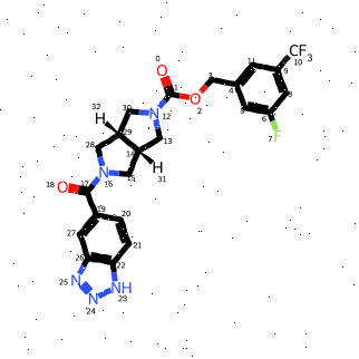 O=C(OCc1cc(F)cc(C(F)(F)F)c1)N1C[C@@H]2CN(C(=O)c3ccc4[nH]nnc4c3)C[C@@H]2C1